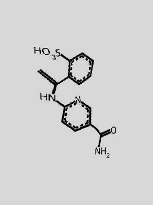 C=C(Nc1ccc(C(N)=O)cn1)c1ccccc1S(=O)(=O)O